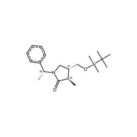 C[C@H](c1ccccc1)N1C[C@H](CO[Si](C)(C)C(C)(C)C)[C@@H](C)C1=O